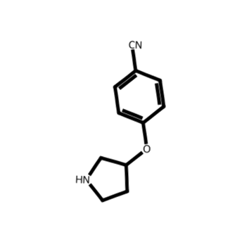 N#Cc1ccc(OC2CCNC2)cc1